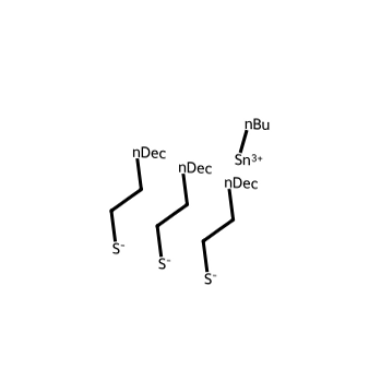 CCCCCCCCCCCC[S-].CCCCCCCCCCCC[S-].CCCCCCCCCCCC[S-].CCC[CH2][Sn+3]